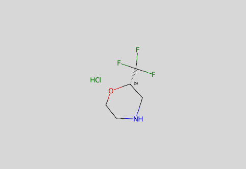 Cl.FC(F)(F)[C@@H]1CNCCO1